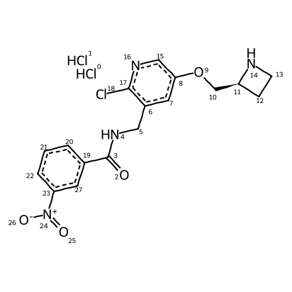 Cl.Cl.O=C(NCc1cc(OC[C@@H]2CCN2)cnc1Cl)c1cccc([N+](=O)[O-])c1